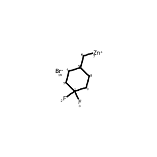 FC1(F)CCC([CH2][Zn+])CC1.[Br-]